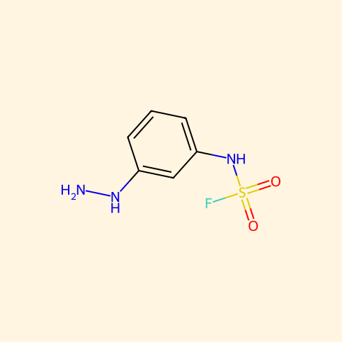 NNc1cccc(NS(=O)(=O)F)c1